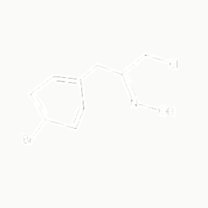 ON=C(CCl)Cc1ccc(Br)cc1